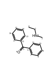 CCNC.O=C(c1ccccc1)c1ccccc1